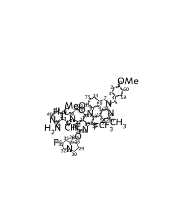 COc1ccc(CN(Cc2ccc(OC)cc2)c2cc(-c3nc4c5c(nc(OC[C@@]67CCCN6C[C@H](F)C7)nc5c3F)N([C@H](C)c3cccnc3N)[C@@H](C)CO4)c(C(F)(F)F)c(C)n2)cc1